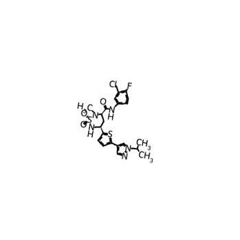 CC(C)n1cc(-c2ccc([C@@H]3C[C@H](C(=O)Nc4ccc(F)c(Cl)c4)N(C)S(=O)(=O)N3)s2)cn1